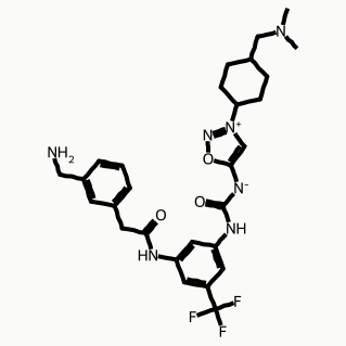 CN(C)CC1CCC([n+]2cc([N-]C(=O)Nc3cc(NC(=O)Cc4cccc(CN)c4)cc(C(F)(F)F)c3)on2)CC1